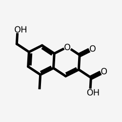 Cc1cc(CO)cc2oc(=O)c(C(=O)O)cc12